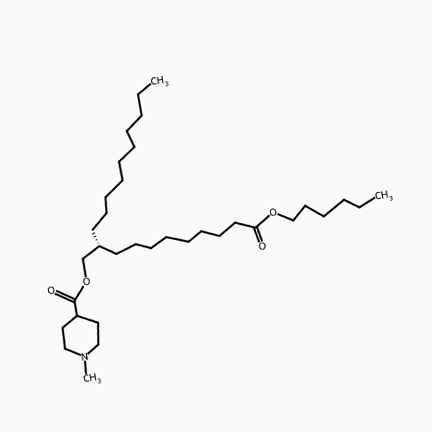 CCCCCCCCCC[C@H](CCCCCCCCC(=O)OCCCCCC)COC(=O)C1CCN(C)CC1